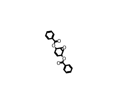 O=C(OC1C=CC(OC(=O)c2ccccc2)C2OC12)c1ccccc1